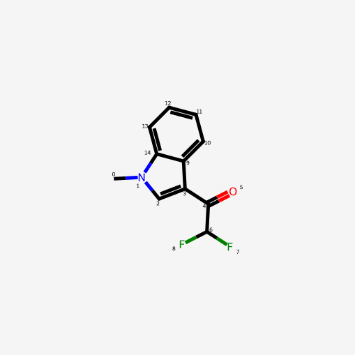 Cn1cc(C(=O)C(F)F)c2ccccc21